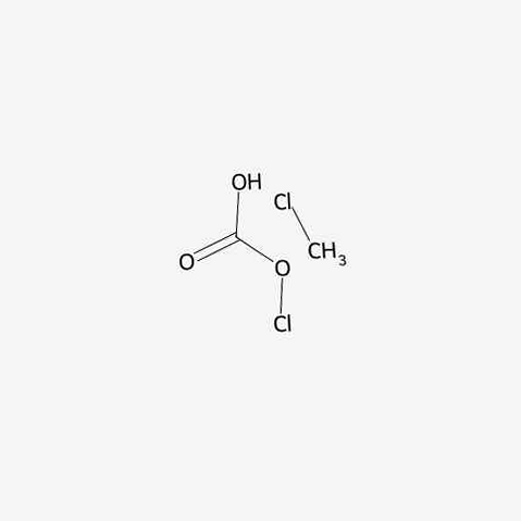 CCl.O=C(O)OCl